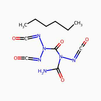 CCCCCC.NC(=O)N(N=C=O)C(=O)N(N=C=O)N=C=O